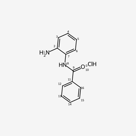 Cl.Nc1ccccc1NC(=O)c1ccccc1